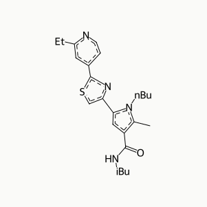 CCCCn1c(-c2csc(-c3ccnc(CC)c3)n2)cc(C(=O)NC(C)CC)c1C